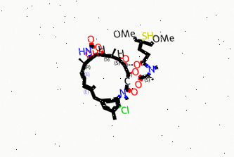 COCC(S)(CCC(=O)N(C)[C@@H](C)C(=O)O[C@H]1CC(=O)N(C)c2cc(cc(C)c2Cl)C/C(C)=C/C=C/[C@@H](C)[C@@]2(O)C[C@H](OC(=O)N2)[C@@H](C)[C@@H]2O[C@@]12C)COC